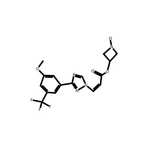 COc1cc(-c2ncn(/C=C\C(=O)OC3CN(Cl)C3)n2)cc(C(F)(F)F)c1